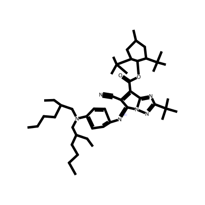 CCCCC(CC)CN(CC(CC)CCCC)c1ccc(/N=C2\C(C#N)=C(C(=O)OC3C(C(C)(C)C)CC(C)CC3C(C)(C)C)c3nc(C(C)(C)C)nn32)cc1